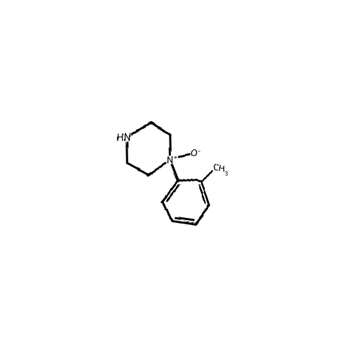 Cc1ccccc1[N+]1([O-])CCNCC1